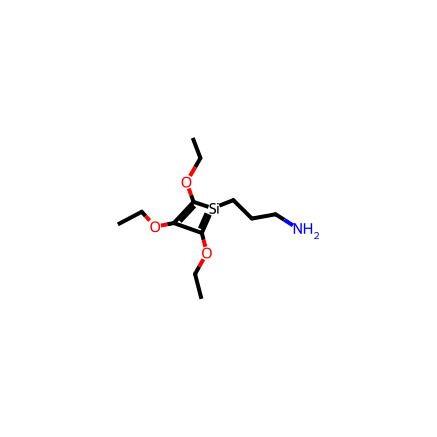 CCOC1=C(OCC)[Si](CCCN)=C1OCC